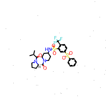 CC(C)C(=O)N1CCC[C@H]1C(=O)N1CCC(NS(=O)(=O)c2cc(S(=O)(=O)c3ccccc3)ccc2C(F)(F)F)CC1